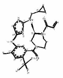 C=CC(=O)N1CCN(C(=O)c2cc(Sc3cnc(NCC4CC4)s3)c(C)cc2C(F)(F)F)C[C@H]1C